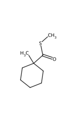 CSC(=O)C1(C)CCCCC1